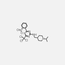 CC(C)N1CCC(CNc2nc(-c3ccccc3[N+](=O)[O-])nc(C(Cl)(Cl)Cl)n2)CC1